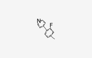 Cc1ccc(-c2ccncc2)c(F)c1